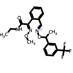 CCNC(=O)C(=NOC)c1ccccc1/C=N/OC(C)c1cccc(C(F)(F)F)c1